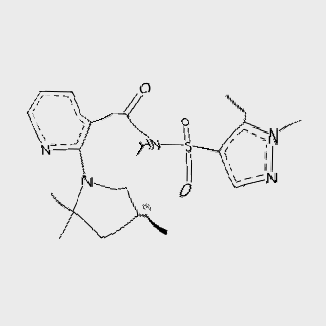 Cc1c(S(=O)(=O)NC(=O)c2cccnc2N2C[C@@H](C)CC2(C)C)cnn1C